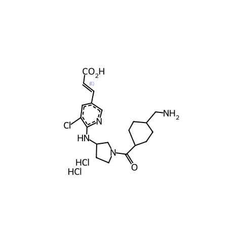 Cl.Cl.NCC1CCC(C(=O)N2CCC(Nc3ncc(/C=C/C(=O)O)cc3Cl)C2)CC1